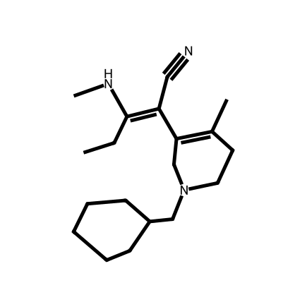 CC/C(NC)=C(/C#N)C1=C(C)CCN(CC2CCCCC2)C1